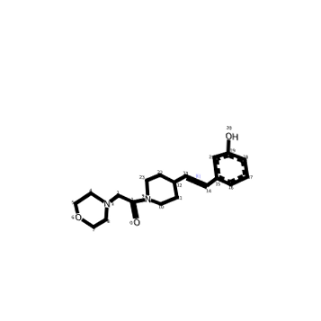 O=C(CN1CCOCC1)N1CCC(/C=C/c2cccc(O)c2)CC1